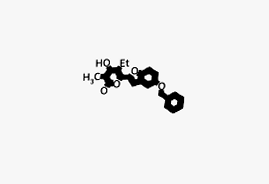 CCc1c(-c2cc3cc(OCc4ccccc4)ccc3o2)oc(=O)c(C)c1O